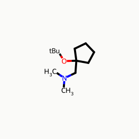 CN(C)CC1(OC(C)(C)C)CCCC1